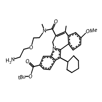 COc1ccc2c(c1)C(C)=C(C(=O)N(C)CCOCCN)Cn1c-2c(C2CCCCC2)c2ccc(C(=O)OC(C)(C)C)cc21